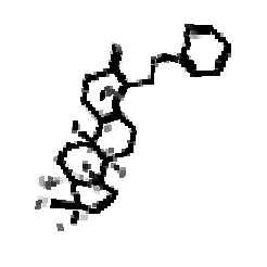 C[C@]12CCC(=O)C(CSc3ccccc3)=C1CC[C@@H]1[C@@H]2CC[C@@]2(C)[C@H]1C=C[C@]2(C)O